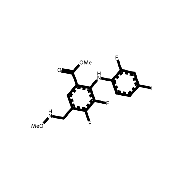 CONCc1cc(C(=O)OC)c(Nc2ccc(I)cc2F)c(F)c1F